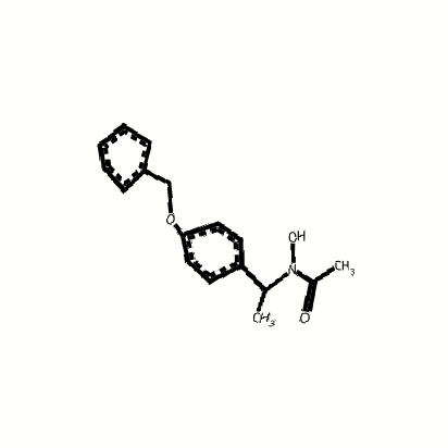 CC(=O)N(O)C(C)c1ccc(OCc2ccccc2)cc1